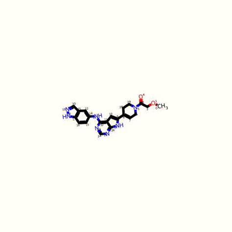 COCC(=O)N1CC=C(c2cc3c(Nc4ccc5[nH]ncc5c4)ncnc3[nH]2)CC1